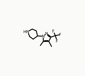 Cc1c(C(F)(F)F)nn(C2CCNCC2)c1C